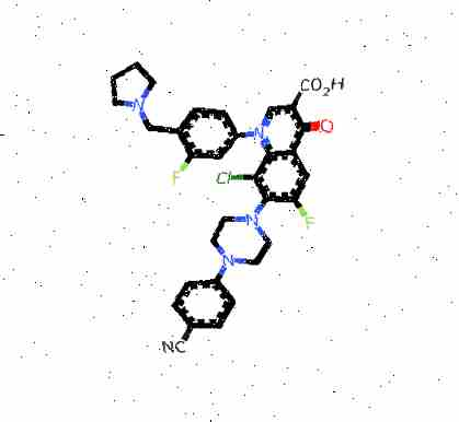 N#Cc1ccc(N2CCN(c3c(F)cc4c(=O)c(C(=O)O)cn(-c5ccc(CN6CCCC6)c(F)c5)c4c3Cl)CC2)cc1